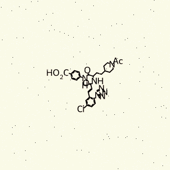 CC(=O)N1CCC(CCC(NC(=O)C=Cc2cc(Cl)ccc2-n2cnnn2)C(=O)Nc2ccc(C(=O)O)cc2)CC1